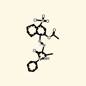 CC(=O)Oc1cc(S(=O)(=O)Cl)c2ccccc2c1/N=N/c1c(C)[nH]n(-c2ccccc2)c1=O